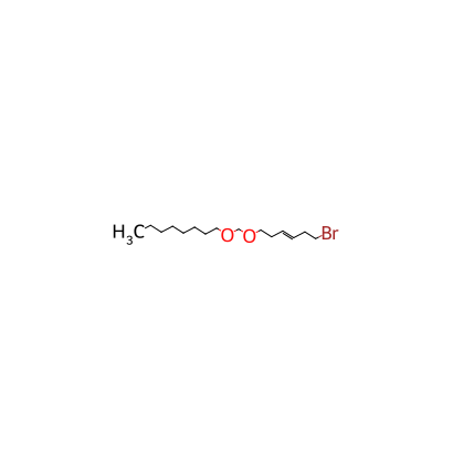 CCCCCCCCOCOCCC=CCCBr